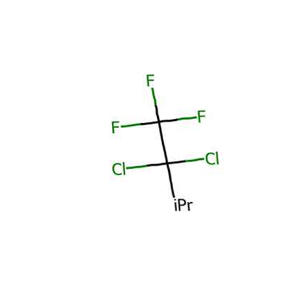 CC(C)C(Cl)(Cl)C(F)(F)F